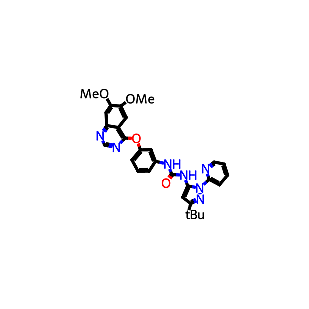 COc1cc2ncnc(Oc3cccc(NC(=O)Nc4cc(C(C)(C)C)nn4-c4ccccn4)c3)c2cc1OC